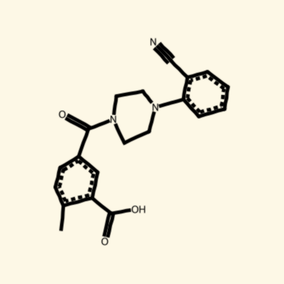 Cc1ccc(C(=O)N2CCN(c3ccccc3C#N)CC2)cc1C(=O)O